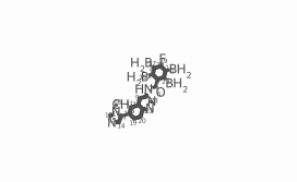 Bc1c(B)c(C(=O)Nc2cc3cc(-c4cncn4C)ccc3nn2)c(B)c(B)c1F